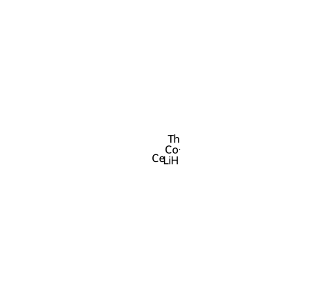 [Ce].[Co].[LiH].[Th]